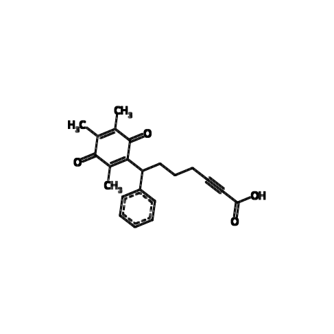 CC1=C(C)C(=O)C(C(CCCC#CC(=O)O)c2ccccc2)=C(C)C1=O